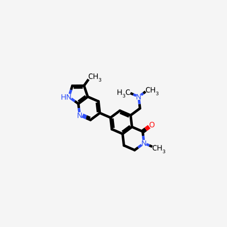 Cc1c[nH]c2ncc(-c3cc4c(c(CN(C)C)c3)C(=O)N(C)CC4)cc12